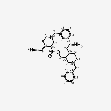 N#C/C=C1\CCN(Cc2ccccc2)CC1C(=O)OCC1CN(Cc2ccccc2)CCC1CCN